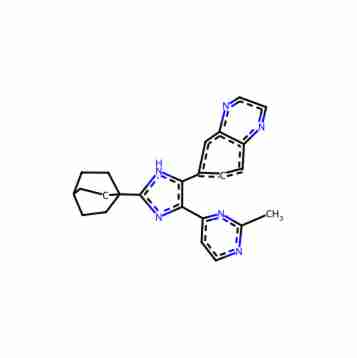 Cc1nccc(-c2nc(C34CCC(CC3)CC4)[nH]c2-c2ccc3nccnc3c2)n1